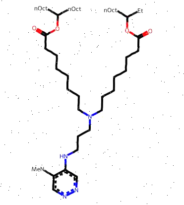 CCCCCCCCC(CC)OC(=O)CCCCCCCN(CCCCCCCC(=O)OC(CCCCCCCC)CCCCCCCC)CCCNc1cnncc1NC